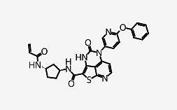 C=CC(=O)N[C@H]1CC[C@H](NC(=O)c2sc3nccc4c3c2NC(=O)N4c2ccc(Oc3ccccc3)nc2)C1